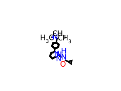 CC(c1ccc(-c2cccc3nc(NC(=O)C4CC4)nn23)cc1)N(C)C